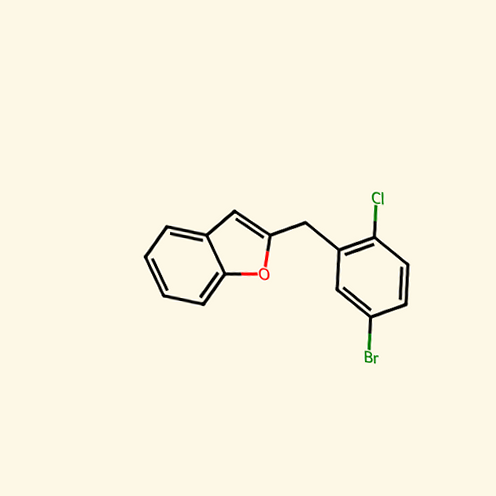 Clc1ccc(Br)cc1Cc1cc2ccccc2o1